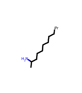 CC(C)CCCCCCCC(C)N